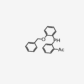 CC(=O)c1ccccc1Pc1ccccc1OCc1ccccc1